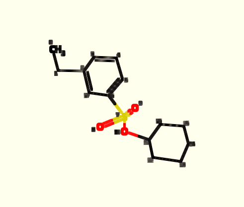 CCc1cccc(S(=O)(=O)OC2CCCCC2)c1